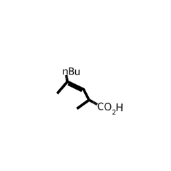 CCCCC(C)=CC(C)C(=O)O